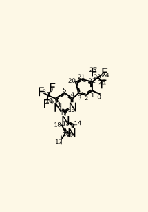 Cc1cc(-c2cc(C(F)(F)F)nc(-n3cnc(I)c3)n2)ccc1C(F)(F)F